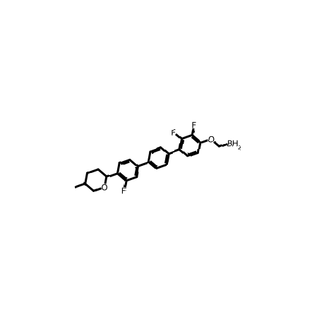 BCOc1ccc(-c2ccc(-c3ccc(C4CCC(C)CO4)c(F)c3)cc2)c(F)c1F